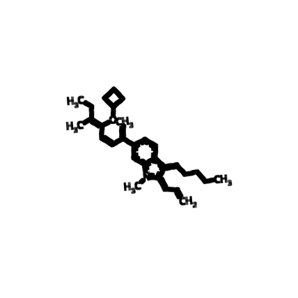 C=C/C=c1\c(=C/CCCC)c2ccc(C(/C=C\C(OC3CCC3)=C(/C)CC)=C/C)cc2n1C